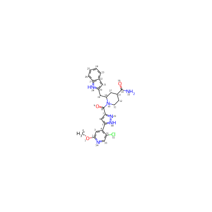 COc1cc(-c2cc(C(=O)N3CCC(C(N)=O)CC3Cc3cc4ccccc4[nH]3)n[nH]2)c(Cl)cn1